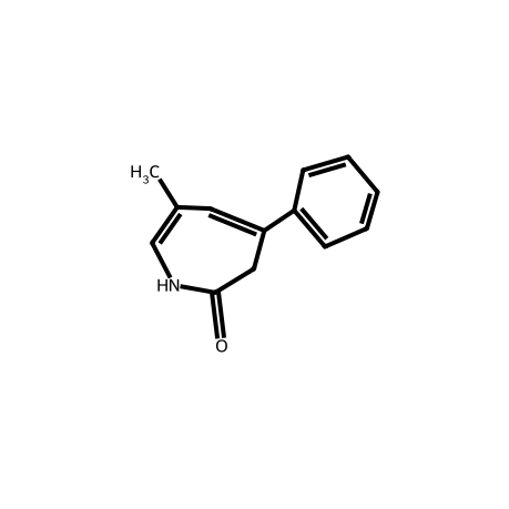 CC1=CNC(=O)CC(c2ccccc2)=C1